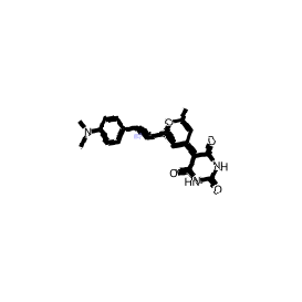 CC1=CC(=C2C(=O)NC(=O)NC2=O)C=C(/C=C/c2ccc(N(C)C)cc2)O1